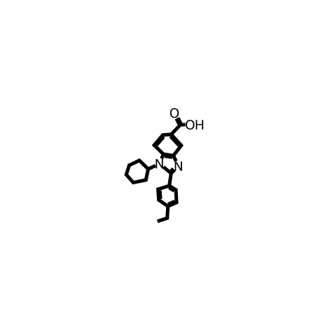 CCc1ccc(-c2nc3cc(C(=O)O)ccc3n2C2CCCCC2)cc1